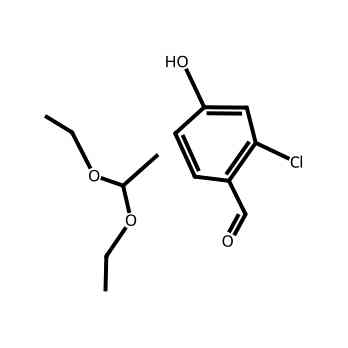 CCOC(C)OCC.O=Cc1ccc(O)cc1Cl